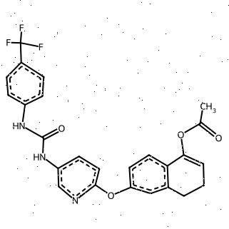 CC(=O)OC1=CCCc2cc(Oc3ccc(NC(=O)Nc4ccc(C(F)(F)F)cc4)cn3)ccc21